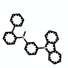 CN(c1cccc(-n2c3ccccc3c3ccccc32)c1)c1ccccc1-c1ccccc1